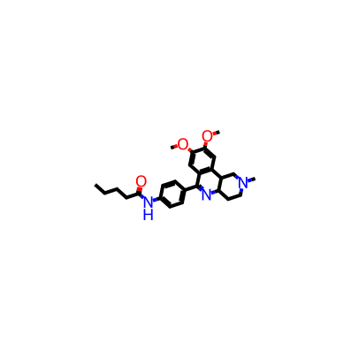 CCCCC(=O)Nc1ccc(C2=NC3CCN(C)CC3c3cc(OC)c(OC)cc32)cc1